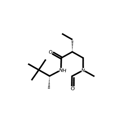 CC[C@H](CN(C)C=O)C(=O)N[C@H](C)C(C)(C)C